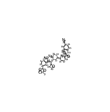 COC(=O)c1ccc2nc(CN3CCC(c4cccc(S(=O)(=O)Cc5ccc(C#N)cc5F)n4)CC3)n(C[C@@H]3CCO3)c2c1